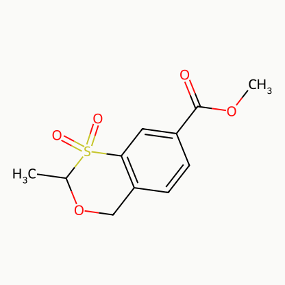 COC(=O)c1ccc2c(c1)S(=O)(=O)C(C)OC2